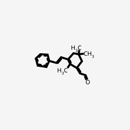 CC1=C(/C=C/c2ccccc2)CC(C)(C)C/C1=C\C=O